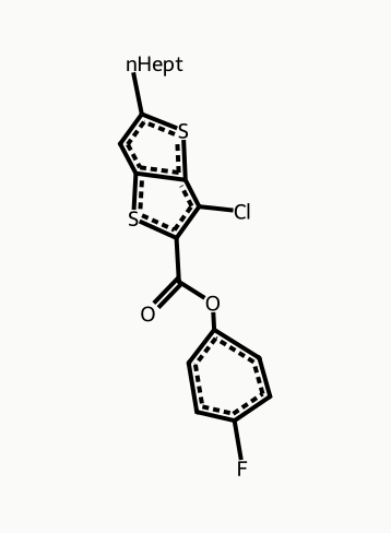 CCCCCCCc1cc2sc(C(=O)Oc3ccc(F)cc3)c(Cl)c2s1